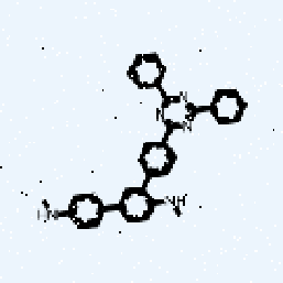 CNc1ccc(-c2ccc(NC)c(-c3ccc(-c4nc(-c5ccccc5)nc(-c5ccccc5)n4)cc3)c2)cc1